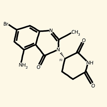 Cc1nc2cc(Br)cc(N)c2c(=O)n1[C@H]1CCC(=O)NC1=O